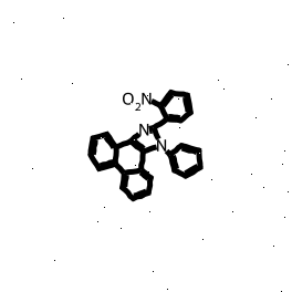 O=[N+]([O-])c1ccccc1-c1nc2c3ccccc3c3ccccc3c2n1-c1ccccc1